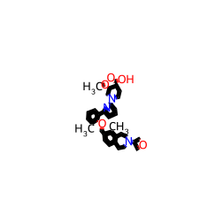 CO[C@@H]1CN(c2cccc(-c3cccc(C)c3OCc3ccc4c(c3C)CCN(C3COC3)CC4)n2)CC[C@@H]1C(=O)O